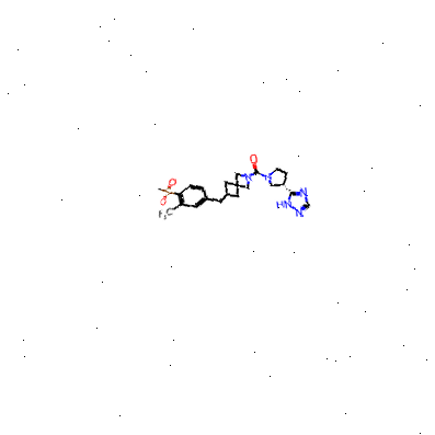 CS(=O)(=O)c1ccc(CC2CC3(C2)CN(C(=O)N2CC[C@H](c4ncn[nH]4)C2)C3)cc1C(F)(F)F